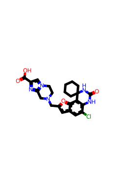 O=C1Nc2c(Cl)cc3cc(CN4CCn5cc(C(=O)O)nc5C4)oc3c2C2(CCCCC2)N1